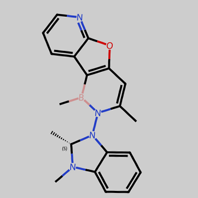 CB1c2c(oc3ncccc23)C=C(C)N1N1c2ccccc2N(C)[C@@H]1C